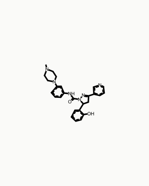 CN1CCN(c2cccc(NC(=O)N3N=C(c4cccnc4)CC3c3ccccc3O)c2)CC1